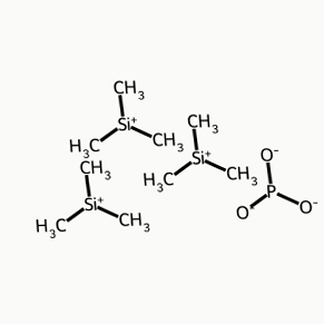 C[Si+](C)C.C[Si+](C)C.C[Si+](C)C.[O-]P([O-])[O-]